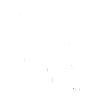 Nc1nnc(-c2ccc(C(F)(F)F)cc2C(F)(F)F)c2c(F)ccn12